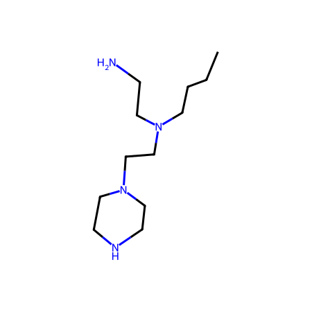 CCCCN(CCN)CCN1CCNCC1